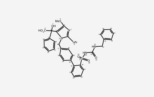 CCCc1nc(SC)c(C(O)(C(=O)O)c2ccccc2)n1Cc1ccc(-c2ccccc2S(=O)(=O)NC(=O)NCc2ccccc2)cc1